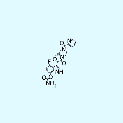 C[C@@H]1CN(C(=O)c2ccccn2)CCN1C(=O)C(=O)c1c[nH]c2c(OC(N)=O)ccc(F)c12